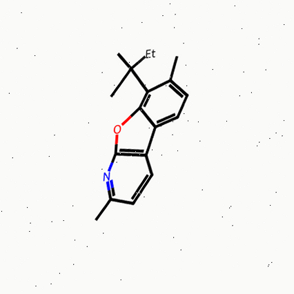 CCC(C)(C)c1c(C)ccc2c1oc1nc(C)ccc12